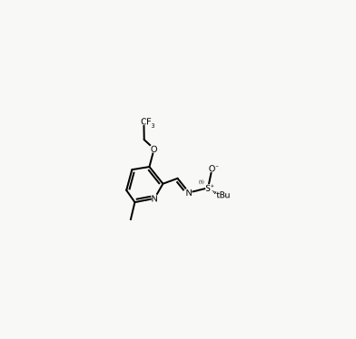 Cc1ccc(OCC(F)(F)F)c(C=N[S@+]([O-])C(C)(C)C)n1